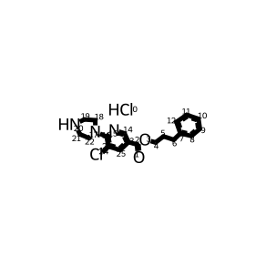 Cl.O=C(OCCCc1ccccc1)c1cnc(N2CCNCC2)c(Cl)c1